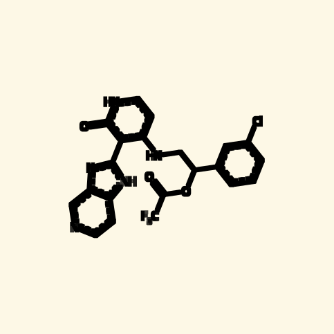 O=C(OC(CNc1cc[nH]c(=O)c1-c1nc2cnccc2[nH]1)c1cccc(Cl)c1)C(F)(F)F